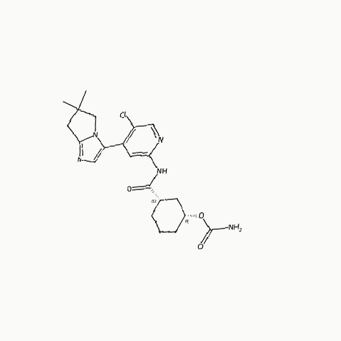 CC1(C)Cc2ncc(-c3cc(NC(=O)[C@H]4CCC[C@@H](OC(N)=O)C4)ncc3Cl)n2C1